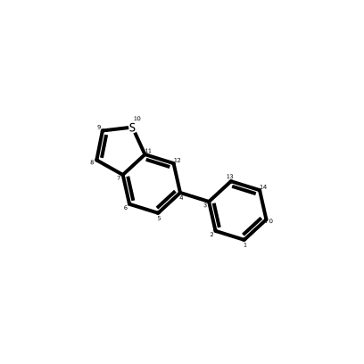 [c]1ccc(-c2ccc3ccsc3c2)cc1